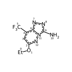 CCOc1cc(C(F)(F)F)c2nnc(N)n2n1